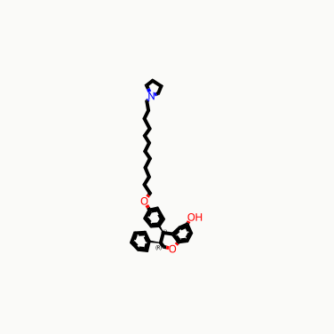 Oc1ccc2c(c1)[C@H](c1ccc(OCCCCCCCCCCCCN3CCCC3)cc1)[C@H](c1ccccc1)CO2